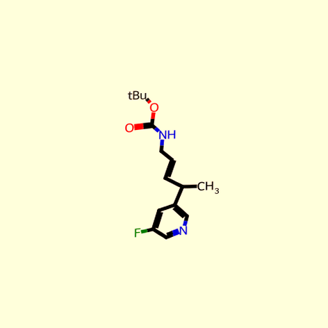 CC(/C=C/CNC(=O)OC(C)(C)C)c1cncc(F)c1